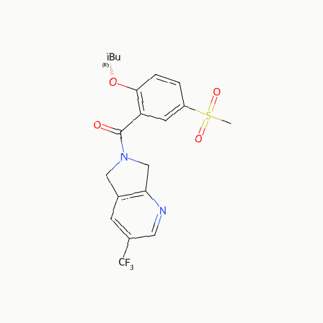 CC[C@@H](C)Oc1ccc(S(C)(=O)=O)cc1C(=O)N1Cc2cc(C(F)(F)F)cnc2C1